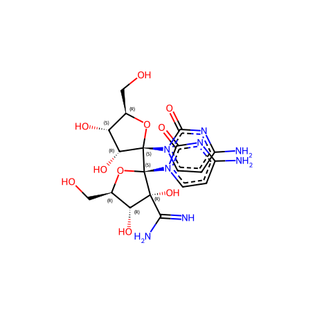 N=C(N)[C@@]1(O)[C@H](O)[C@@H](CO)O[C@]1(n1ccc(N)nc1=O)[C@@]1(n2ccc(N)nc2=O)O[C@H](CO)[C@@H](O)[C@H]1O